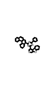 c1ccc(-c2nc(-c3cc4ccc5ccccc5c4c4ccccc34)nc(-c3cncc4oc5ccccc5c34)n2)cc1